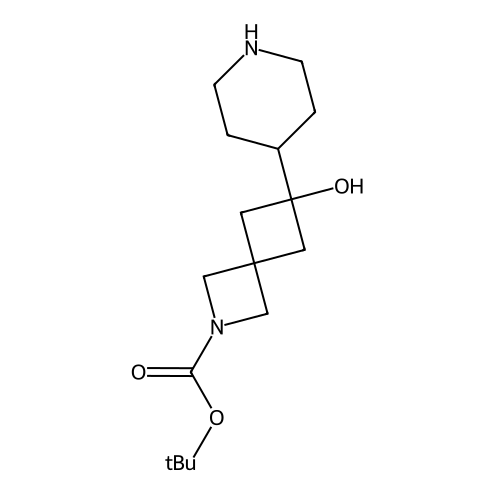 CC(C)(C)OC(=O)N1CC2(C1)CC(O)(C1CCNCC1)C2